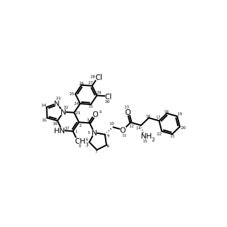 CC1=C(C(=O)N2CCC[C@H]2COC(=O)[C@@H](N)Cc2ccccc2)C(c2ccc(Cl)c(Cl)c2)n2nccc2N1